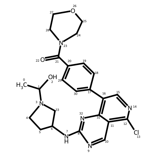 CC(O)N1CCC(Nc2ncc3c(Cl)ncc(-c4ccc(C(=O)N5CCOCC5)cc4)c3n2)C1